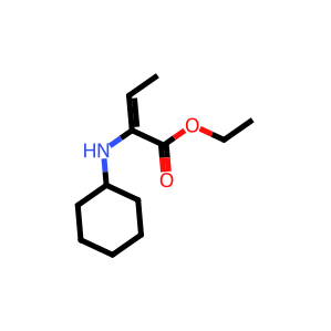 CC=C(NC1CCCCC1)C(=O)OCC